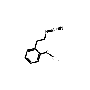 COc1ccccc1CCN=[N+]=[N-]